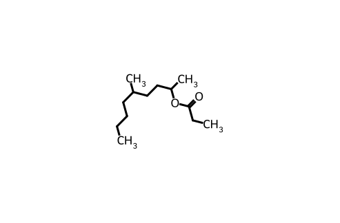 CCCCC(C)CCC(C)OC(=O)CC